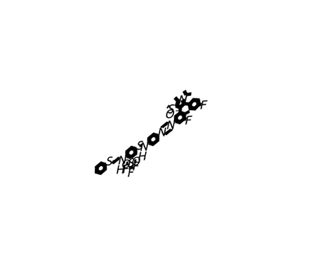 Cc1c(F)cc(N2CCN(c3ccc(NSc4ccc(NCCSc5ccccc5)c(S(=O)(=O)C(F)(F)F)c4)cc3)CC2)cc1-c1c([S+](C)[O-])c(C)n(C(C)C)c1-c1ccc(F)cc1